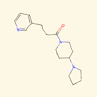 O=C(CCc1cccnc1)N1CCC(N2CCCC2)CC1